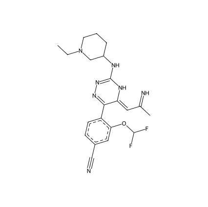 CCN1CCCC(NC2=NN=C(c3ccc(C#N)cc3OC(F)F)/C(=C/C(C)=N)N2)C1